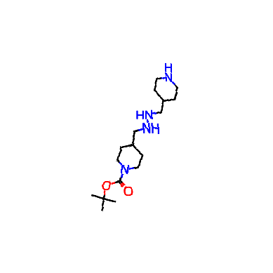 CC(C)(C)OC(=O)N1CCC(CNNCC2CCNCC2)CC1